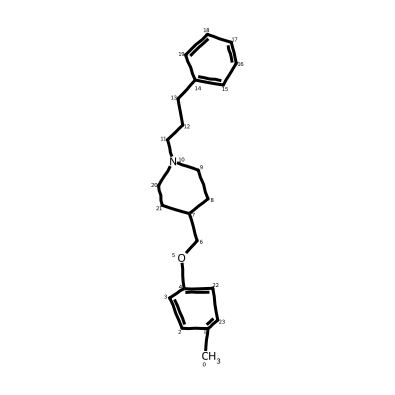 Cc1ccc(OCC2CCN(CCCc3ccccc3)CC2)cc1